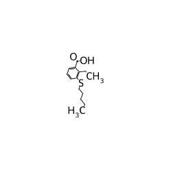 CCCCCSc1cccc(C(=O)O)c1CC